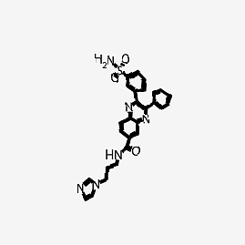 NS(=O)(=O)c1cccc(-c2nc3ccc(C(=O)NCCCn4ccnc4)cc3nc2-c2ccccc2)c1